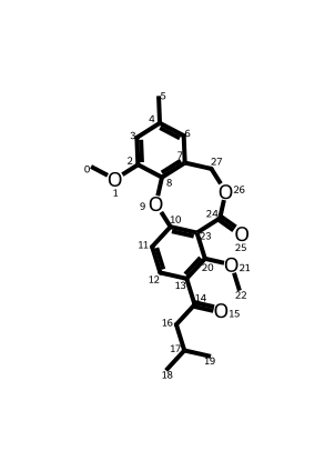 COc1cc(C)cc2c1Oc1ccc(C(=O)CC(C)C)c(OC)c1C(=O)OC2